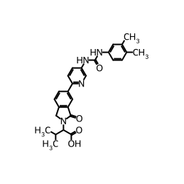 Cc1ccc(NC(=O)Nc2ccc(-c3ccc4c(c3)C(=O)N(C(C(=O)O)C(C)C)C4)nc2)cc1C